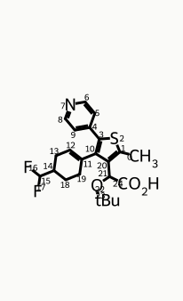 Cc1sc(-c2ccncc2)c(C2=CCC(C(F)F)CC2)c1C(OC(C)(C)C)C(=O)O